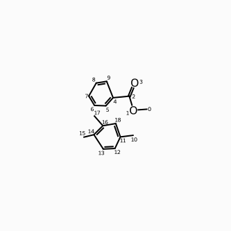 COC(=O)c1ccccc1.Cc1ccc(C)c(C)c1